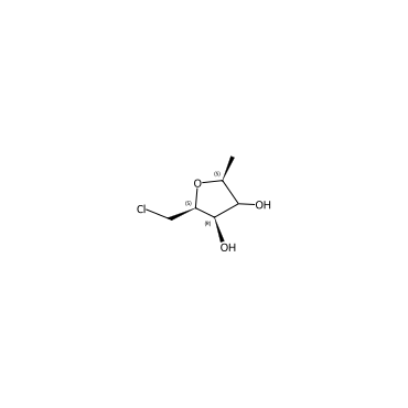 C[C@@H]1O[C@H](CCl)[C@H](O)C1O